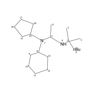 CCCCC(C)(C)NC(C)N(C1CCCCC1)C1CCCC1